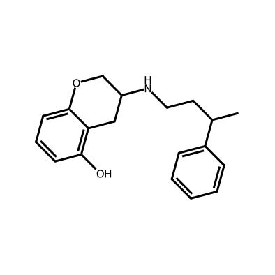 CC(CCNC1COc2cccc(O)c2C1)c1ccccc1